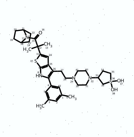 Cc1cc(C)cc(-c2[nH]c3sc(C(C)(C)C(=O)N4C5CCC4CC5)cc3c2CCN2CCN(C3CCS(O)(O)C3)CC2)c1